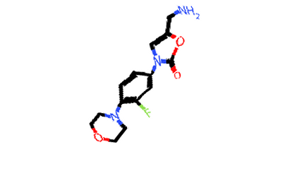 NCc1cn(-c2ccc(N3CCOCC3)c(F)c2)c(=O)o1